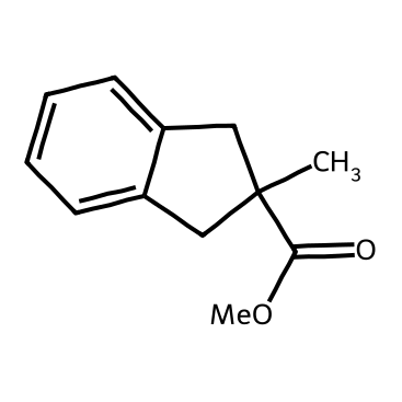 COC(=O)C1(C)Cc2ccccc2C1